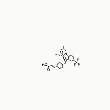 CCCS(=O)(=O)N(CC(C)C)c1ccc(C(F)(F)F)cc1OCc1ccc(C=CC(=O)O)cc1